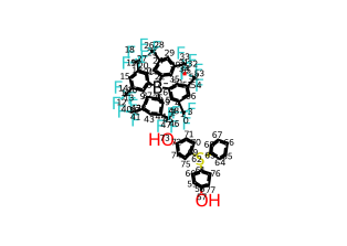 FC(F)(F)c1cc([B-](c2cc(C(F)(F)F)cc(C(F)(F)F)c2)(c2cc(C(F)(F)F)cc(C(F)(F)F)c2)c2cc(C(F)(F)F)cc(C(F)(F)F)c2)cc(C(F)(F)F)c1.Oc1ccc([S+](c2ccccc2)c2ccc(O)cc2)cc1